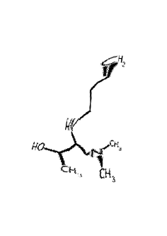 C=CCCNC(C(C)O)N(C)C